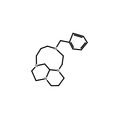 c1ccc(CN2CCCN3CCN4CCCN(CC2)C4C3)cc1